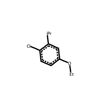 CCOc1ccc(Cl)c(C(C)C)c1